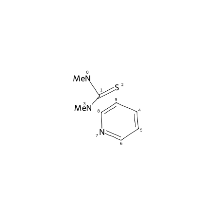 CNC(=S)NC.c1ccncc1